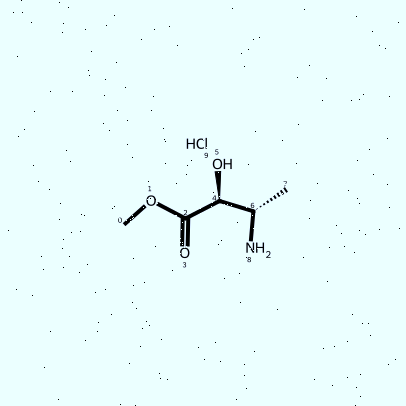 COC(=O)[C@@H](O)[C@H](C)N.Cl